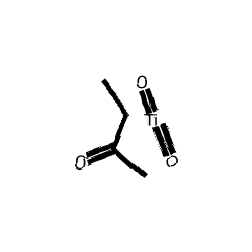 CCC(C)=O.[O]=[Ti]=[O]